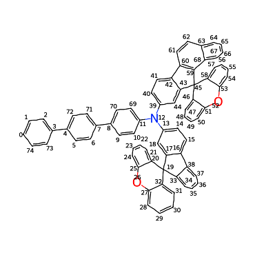 c1ccc(-c2ccc(-c3ccc(N(c4ccc5c(c4)C4(c6ccccc6Oc6ccccc64)c4ccccc4-5)c4ccc5c(c4)C4(c6ccccc6Oc6ccccc64)c4c-5ccc5ccccc45)cc3)cc2)cc1